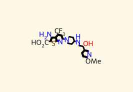 COc1ccc(C(O)CNC2CCN(c3cc(C(F)(F)F)c4c(N)c(C(=O)O)sc4n3)CC2)cn1